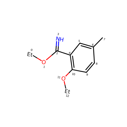 CCOC(=N)c1cc(C)ccc1OCC